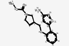 CC(C)(C)OC(=O)N1CCC(COc2ccccc2-c2cc(N)no2)C1